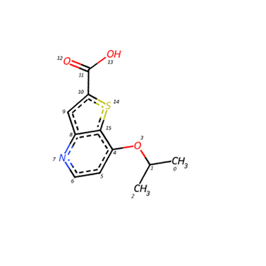 CC(C)Oc1ccnc2cc(C(=O)O)sc12